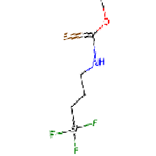 COC(=S)NCCC[Si](F)(F)F